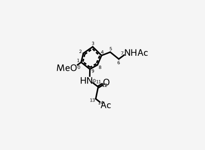 COc1ccc(CCNC(C)=O)cc1NC(=O)CC(C)=O